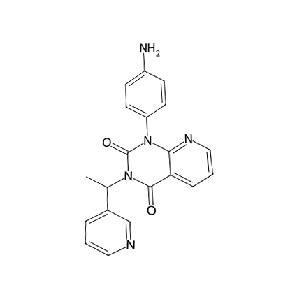 CC(c1cccnc1)n1c(=O)c2cccnc2n(-c2ccc(N)cc2)c1=O